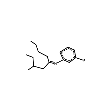 CCCC/C(CC(C)CC)=N\c1cccc(F)c1